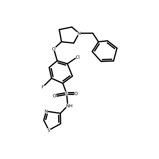 O=S(=O)(Nc1cscn1)c1cc(Cl)c(OC2CCN(Cc3ccccc3)C2)cc1F